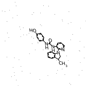 CC1CN(c2ncccc2NC(=O)Nc2ccc(O)cc2)c2ccccc21